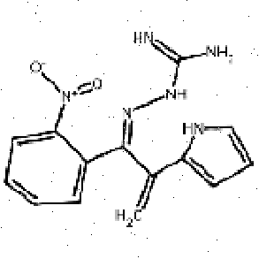 C=C(C(=NNC(=N)N)c1ccccc1[N+](=O)[O-])c1ccc[nH]1